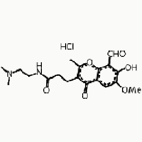 COc1cc2c(=O)c(CCC(=O)NCCN(C)C)c(C)oc2c(C=O)c1O.Cl